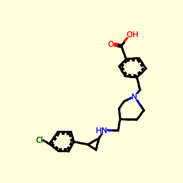 O=C(O)c1ccc(CN2CCC(CNC3CC3c3ccc(Cl)cc3)CC2)cc1